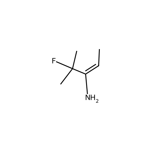 C/C=C(/N)C(C)(C)F